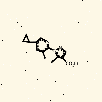 CCOC(=O)c1cnn(-c2ncc(C3CC3)cc2C)c1C